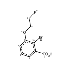 O=C(O)c1cccc(OCCF)c1Br